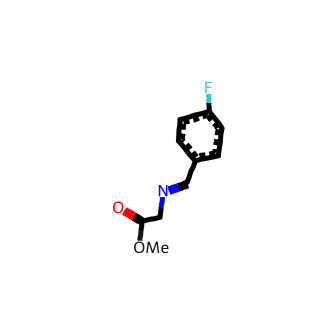 COC(=O)CN=Cc1ccc(F)cc1